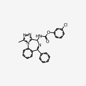 Cc1nnc2n1-c1ccccc1C(c1ccccc1)=NC2NC(=O)Oc1cccc(Cl)c1